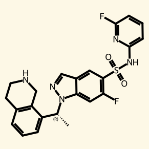 C[C@H](c1cccc2c1CNCC2)n1ncc2cc(S(=O)(=O)Nc3cccc(F)n3)c(F)cc21